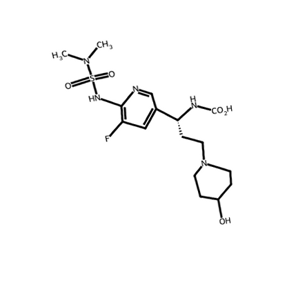 CN(C)S(=O)(=O)Nc1ncc([C@@H](CCN2CCC(O)CC2)NC(=O)O)cc1F